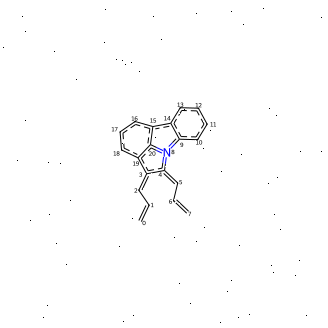 C=C/C=c1\c(=C/C=C)n2c3ccccc3c3cccc1c32